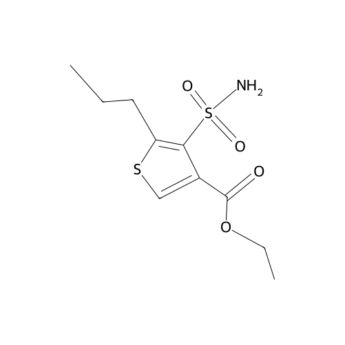 CCCc1scc(C(=O)OCC)c1S(N)(=O)=O